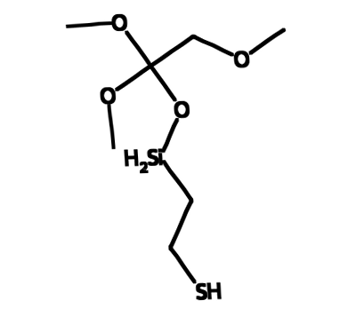 COCC(OC)(OC)O[SiH2]CCS